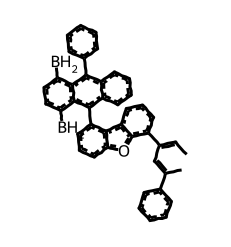 Bc1ccc(B)c2c(-c3cccc4oc5c(C(/C=C(\C)c6ccccc6)=C/C)cccc5c34)c3ccccc3c(-c3ccccc3)c12